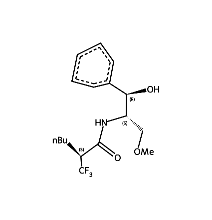 CCCC[C@@H](C(=O)N[C@@H](COC)[C@H](O)c1ccccc1)C(F)(F)F